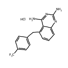 Cl.Nc1nc(N)c2c(Cc3ccc(C(F)(F)F)cc3)cccc2n1